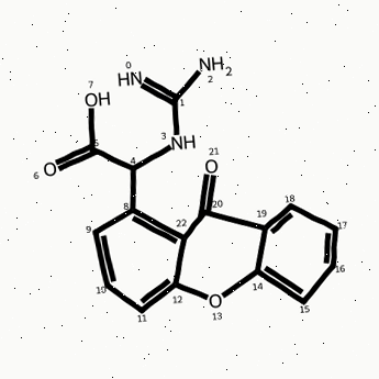 N=C(N)NC(C(=O)O)c1cccc2oc3ccccc3c(=O)c12